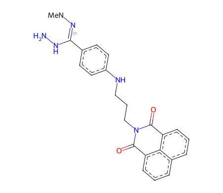 CN/N=C(\NN)c1ccc(NCCCN2C(=O)c3cccc4cccc(c34)C2=O)cc1